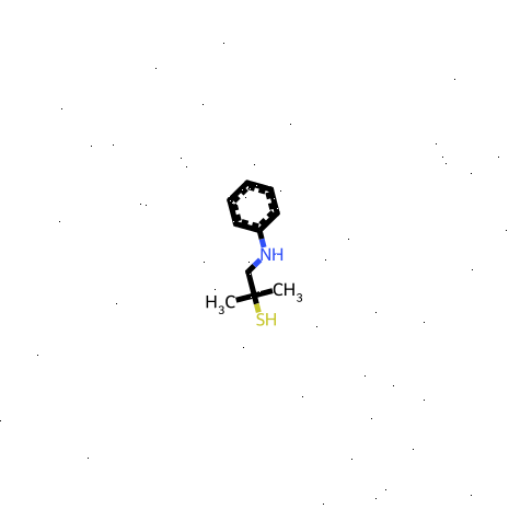 CC(C)(S)CNc1ccccc1